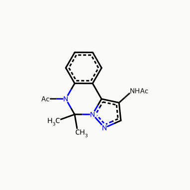 CC(=O)Nc1cnn2c1-c1ccccc1N(C(C)=O)C2(C)C